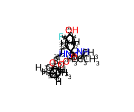 CC(=O)N[C@@]1(C(=O)NC(C)(C)C)C[C@H]2C[C@H](O)[C@H](F)[C@H]2[C@@H]1CCCB1O[C@@H]2C[C@@H]3C[C@@H](C3(C)C)[C@]2(C)O1